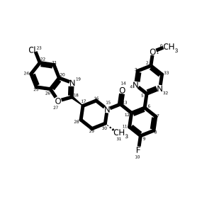 COc1cnc(-c2ccc(F)cc2C(=O)N2C[C@H](c3nc4cc(Cl)ccc4o3)CC[C@H]2C)nc1